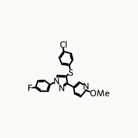 COc1ccc(-c2nn(-c3ccc(F)cc3)cc2Sc2ccc(Cl)cc2)cn1